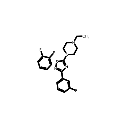 CCN1CCN(c2nc(-c3cccc(F)c3)ns2)CC1.Fc1ccccc1F